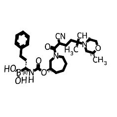 C[C@@H]1CN(C(C)(C)CCC(C#N)C(=O)N2CCCC[C@@H](OC(=O)N[C@@H](CCc3ccccc3)B(O)O)C2)CCO1